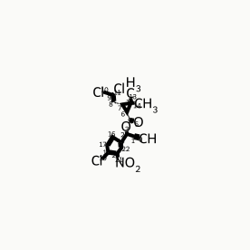 C#CC(OC(=O)[C@@H]1[C@H](C=C(Cl)Cl)C1(C)C)c1ccc(Cl)c([N+](=O)[O-])c1